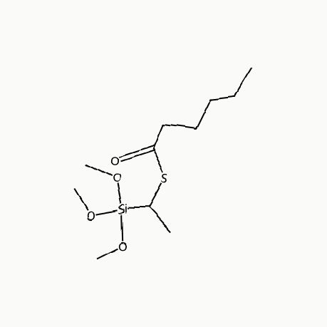 CCCCCC(=O)SC(C)[Si](OC)(OC)OC